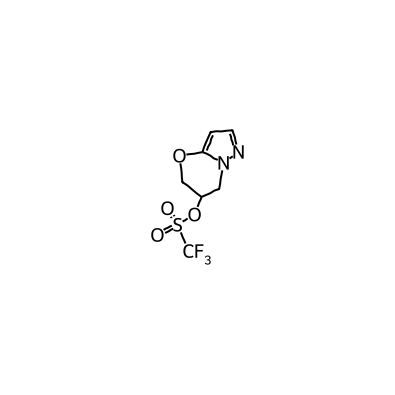 O=S(=O)(OC1COc2ccnn2C1)C(F)(F)F